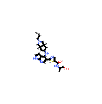 CC(CO)NC(=O)c1cnc(-c2cnc3[nH]ccc3c2NC2C[C@@H]3CN(CCC#N)C[C@@H]3C2)s1